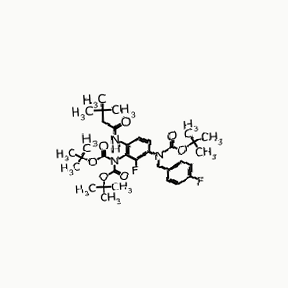 CC(C)(C)CC(=O)Nc1ccc(N(Cc2ccc(F)cc2)C(=O)OC(C)(C)C)c(F)c1N(C(=O)OC(C)(C)C)C(=O)OC(C)(C)C